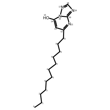 CCCCCCCCCCCCc1cc(O)n2ncnc2n1